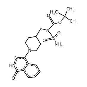 CC(C)(C)OC(=O)N(CC1CCN(c2n[nH]c(=O)c3ccccc23)CC1)S(N)(=O)=O